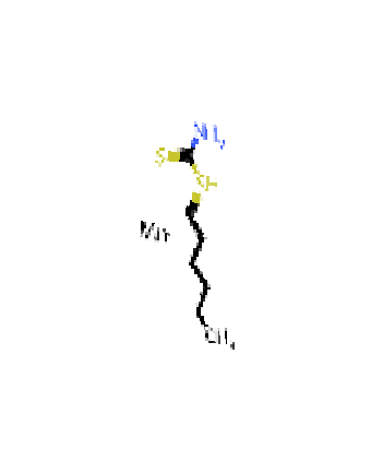 CCCCCC=[SH]C(N)=S.[Mn]